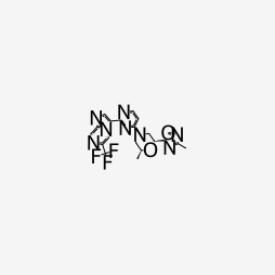 Cc1noc([C@@H]2CN(c3ccnc(-c4cnc5cnc(C(F)(F)F)cn45)n3)C[C@H](C)O2)n1